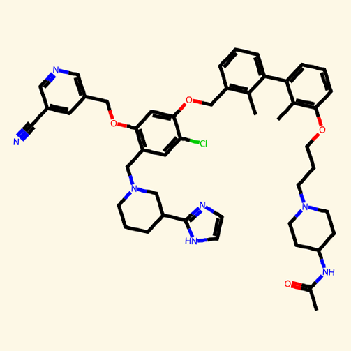 CC(=O)NC1CCN(CCCOc2cccc(-c3cccc(COc4cc(OCc5cncc(C#N)c5)c(CN5CCCC(c6ncc[nH]6)C5)cc4Cl)c3C)c2C)CC1